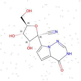 N#C[C@@]1(c2ccc3c(=O)[nH]cnn23)O[C@H](CO)[C@@H](O)[C@H]1O